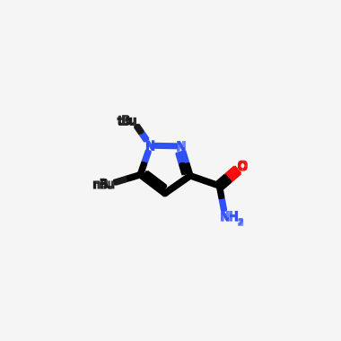 CCCCc1cc(C(N)=O)nn1C(C)(C)C